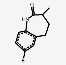 O=C1Nc2ccc(Br)cc2CCC1I